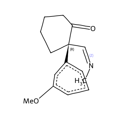 C/N=C\[C@]1(c2cccc(OC)c2)CCCCC1=O